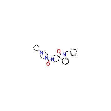 O=C(N1CCN(C2CCCC2)CC1)N1CCC2(CC1)C(=O)N(Cc1ccccc1)c1ccccc12